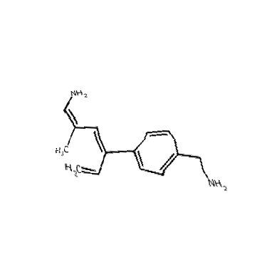 C=C/C(=C\C(C)=C/N)c1ccc(CN)cc1